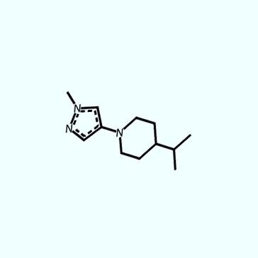 CC(C)C1CCN(c2cnn(C)c2)CC1